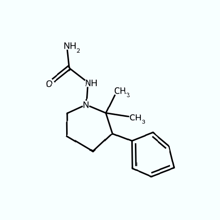 CC1(C)C(c2ccccc2)CCCN1NC(N)=O